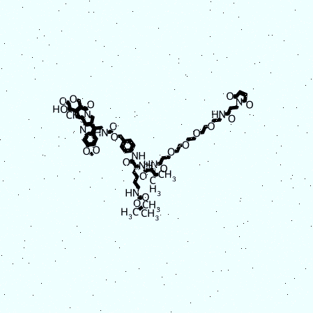 CC(C)[C@H](NC(=O)CCOCCOCCOCCOCCNC(=O)CCN1C(=O)C=CC1=O)C(=O)N[C@@H](CCCCNC(=O)OC(C)(C)C)C(=O)Nc1ccc(COC(=O)NCc2c3c(nc4cc5c(cc24)OCO5)-c2cc4c(c(=O)n2C3)COC(=O)[C@@]4(C)O)cc1